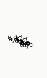 CC1CN(C(=O)OC(C)(C)C)CCN1C(=O)Nc1ccc(Cl)cc1